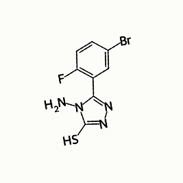 Nn1c(S)nnc1-c1cc(Br)ccc1F